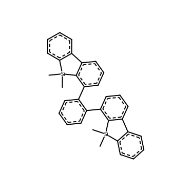 C[Si]1(C)c2ccccc2-c2cccc(-c3ccccc3-c3cccc4c3[Si](C)(C)c3ccccc3-4)c21